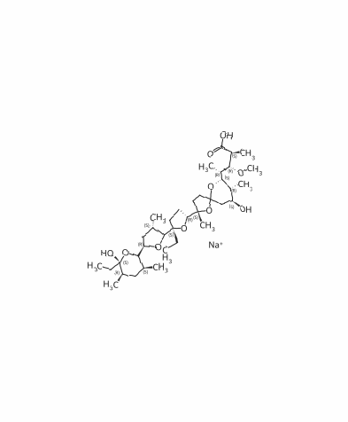 CC[C@@]1(C2O[C@@H](C3O[C@@](O)(CC)[C@H](C)C[C@@H]3C)C[C@@H]2C)CC[C@H]([C@]2(C)CCC3(C[C@H](O)[C@@H](C)[C@@H]([C@H](C)[C@@H](OC)[C@H](C)C(=O)O)O3)O2)O1.[Na+]